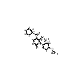 COc1ccc(-n2c(N)c(C(=O)c3ccccc3)ccc2=O)c(C)c1